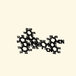 N#Cc1cc(-c2ccc(-n3c4ccccc4c4cccc(-n5c6ccccc6c6ccccc65)c43)cc2)ccc1-n1c2ccccc2c2c(C#N)cccc21